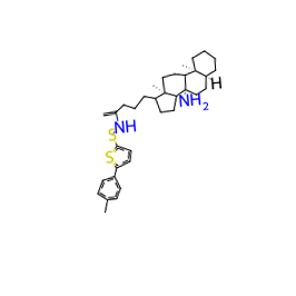 C=C(CCCC1CCC2[C@]1(C)CCC1[C@@]2(N)CC[C@@H]2CCCC[C@]12C)NSc1ccc(-c2ccc(C)cc2)s1